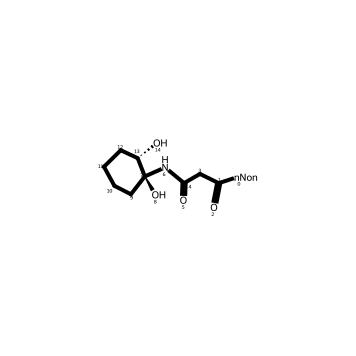 CCCCCCCCCC(=O)CC(=O)N[C@]1(O)CCCC[C@@H]1O